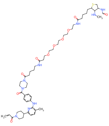 C=CC(=O)N1CCC(c2ccc(C)c(Nc3ccc(C(=O)N4CCN(C(=O)CCCCNC(=O)CCOCCOCCOCCOCCNC(=O)CCCCC5SCC(NC=O)C5NC)CC4)cc3)n2)CC1